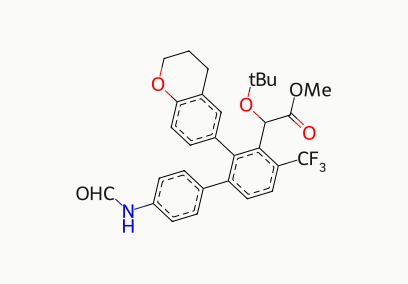 COC(=O)C(OC(C)(C)C)c1c(C(F)(F)F)ccc(-c2ccc(NC=O)cc2)c1-c1ccc2c(c1)CCCO2